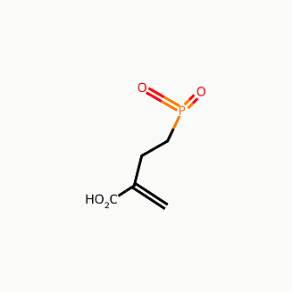 C=C(CCP(=O)=O)C(=O)O